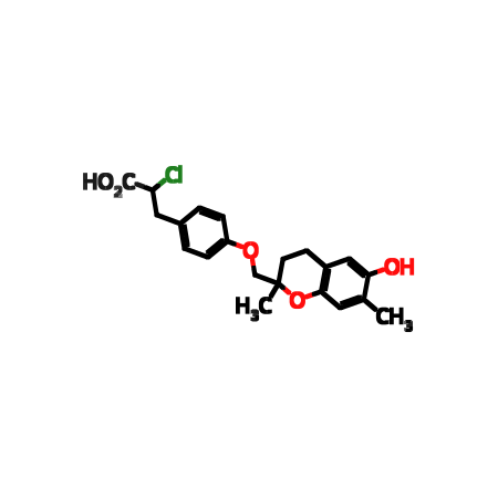 Cc1cc2c(cc1O)CCC(C)(COc1ccc(CC(Cl)C(=O)O)cc1)O2